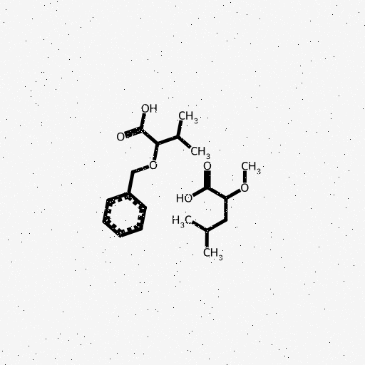 CC(C)C(OCc1ccccc1)C(=O)O.COC(CC(C)C)C(=O)O